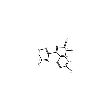 CCn1c(=O)nc(-c2cccc(Cl)c2)c2ccc(C(C)=O)nc21